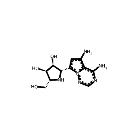 Nc1cc([C@@H]2N[C@H](CO)[C@@H](O)[C@H]2O)n2ncnc(N)c12